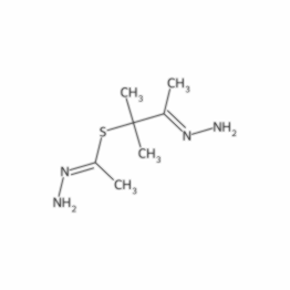 C/C(=N\N)SC(C)(C)/C(C)=N/N